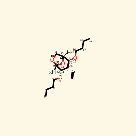 C=C[C@@H]1[C@H](OCCCC)[C@@H]2OC[C@H](O2)[C@H]1OCCCC